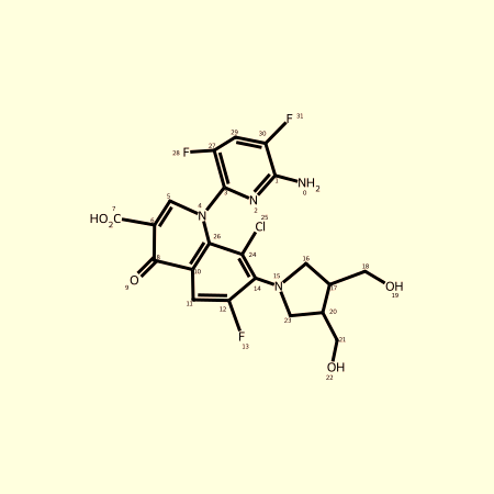 Nc1nc(-n2cc(C(=O)O)c(=O)c3cc(F)c(N4CC(CO)C(CO)C4)c(Cl)c32)c(F)cc1F